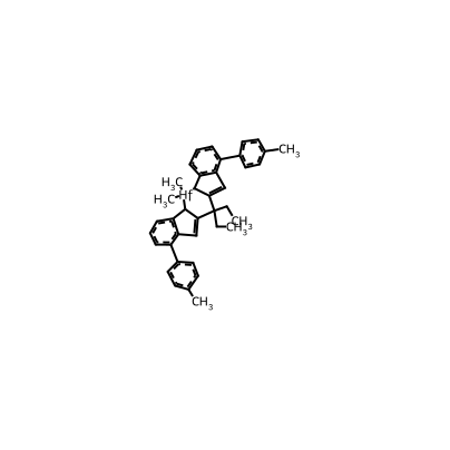 CCC1(CC)C2=Cc3c(-c4ccc(C)cc4)cccc3[CH]2[Hf]([CH3])([CH3])[CH]2C1=Cc1c(-c3ccc(C)cc3)cccc12